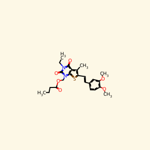 CCCC(=O)OCn1c(=O)n(CC)c(=O)c2c(C)c(C=Cc3ccc(OC)c(OC)c3)sc21